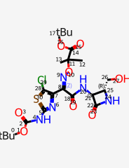 CC(C)(C)OC(=O)Nc1nc(/C(=N/OC(C)(C)C(=O)OC(C)(C)C)C(=O)N[C@@H]2C(=O)N[C@H]2CO)c(Cl)s1